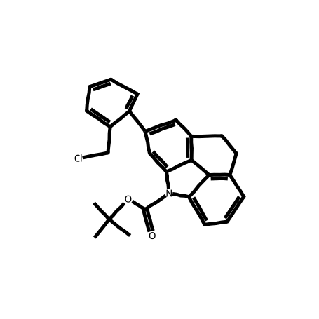 CC(C)(C)OC(=O)n1c2cccc3c2c2c(cc(-c4ccccc4CCl)cc21)CC3